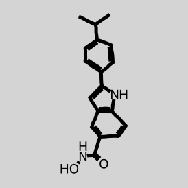 CC(C)c1ccc(-c2cc3cc(C(=O)NO)ccc3[nH]2)cc1